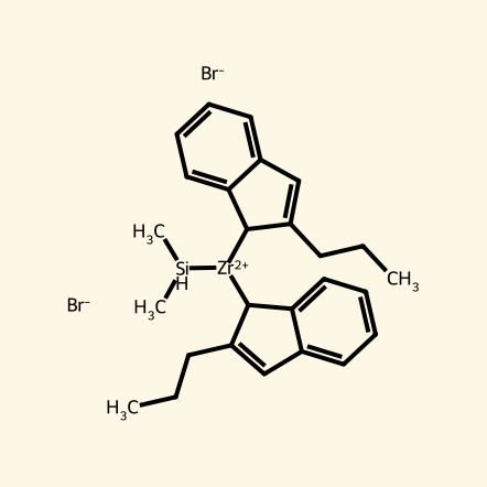 CCCC1=Cc2ccccc2[CH]1[Zr+2]([CH]1C(CCC)=Cc2ccccc21)[SiH](C)C.[Br-].[Br-]